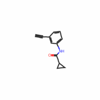 C#Cc1cccc(NC(=O)C2CC2)c1